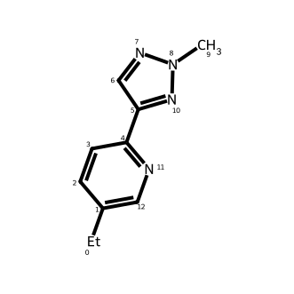 CCc1ccc(-c2cnn(C)n2)nc1